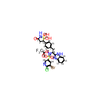 O=C1CC(c2ccc(C[C@@H](c3nc4ccccc4[nH]3)N(OC(=O)C(F)(F)F)S(=O)(=O)c3cnc(Cl)c(Br)c3)cc2)S(O)(O)N1